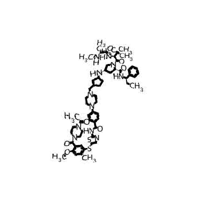 CC[C@@H](NC(=O)[C@@H]1C[C@H](NC2CCC(CN3CCN(c4ccc(C(=O)Nc5ncc(Sc6cc(C(=O)N7CCN(C(C)=O)CC7)c(OC)cc6C)s5)cc4)CC3)C2)CN1C(=O)[C@@H](NC(=O)[C@H](C)NC)C(C)(C)C)c1ccccc1